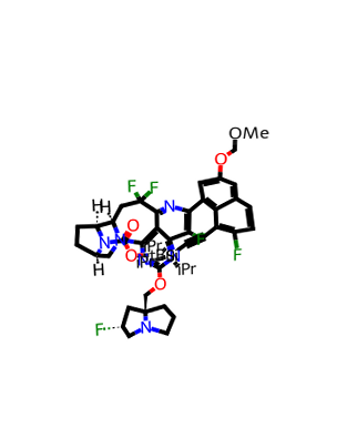 COCOc1cc(-c2nc3c4c(nc(OC[C@@]56CCCN5C[C@H](F)C6)nc4c2F)N2C[C@H]4CC[C@@H]([C@H]2CC3(F)F)N4C(=O)OC(C)(C)C)c2c(C#C[Si](C(C)C)(C(C)C)C(C)C)c(F)ccc2c1